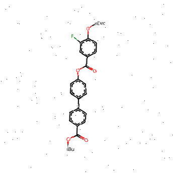 CCCCCCCCCCOc1ccc(C(=O)Oc2ccc(-c3ccc(C(=O)O[C@H](C)CC)cc3)cc2)cc1F